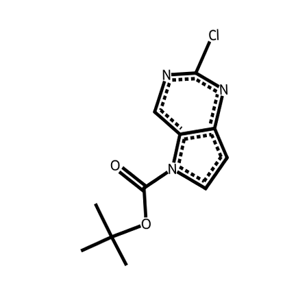 CC(C)(C)OC(=O)n1ccc2nc(Cl)ncc21